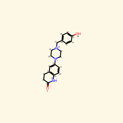 O=C1CCc2cc(N3CCN(Cc4ccc(O)cc4)CC3)ccc2N1